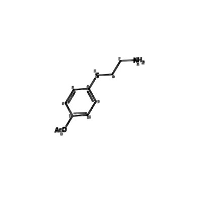 CC(=O)Oc1ccc(SCCN)cc1